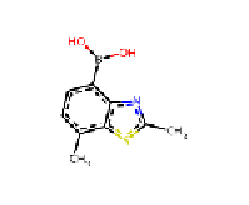 Cc1nc2c(B(O)O)ccc(C)c2s1